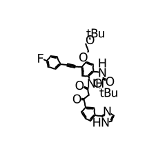 CC(C)(C)OCCOc1cc(NC(=O)OC(C)(C)C)c(NC(=O)CC(=O)c2cccc(-c3ncc[nH]3)c2)cc1C#Cc1ccc(F)cc1